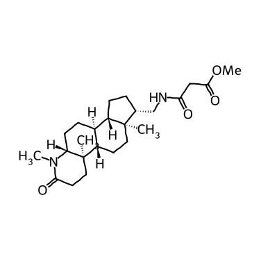 COC(=O)CC(=O)NC[C@H]1CC[C@H]2[C@@H]3CC[C@H]4N(C)C(=O)CC[C@]4(C)[C@H]3CC[C@]12C